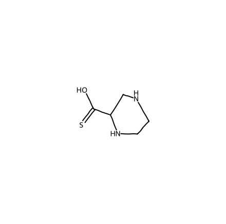 OC(=S)C1CNCCN1